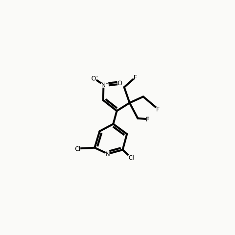 O=[N+]([O-])C=C(c1cc(Cl)nc(Cl)c1)C(CF)(CF)CF